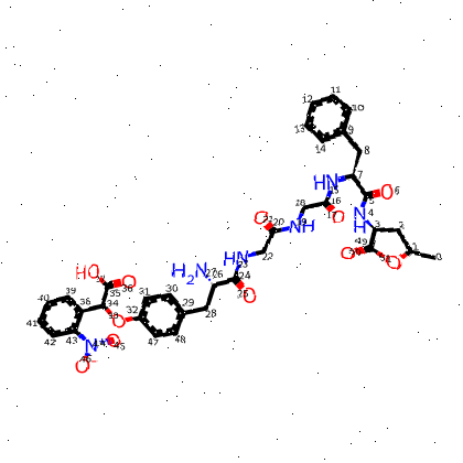 CC1C[C@H](NC(=O)[C@H](Cc2ccccc2)NC(=O)CNC(=O)CNC(=O)[C@@H](N)Cc2ccc(OC(C(=O)O)c3ccccc3[N+](=O)[O-])cc2)C(=O)O1